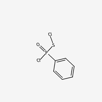 O=P(Cl)(SCl)c1ccccc1